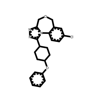 Clc1ccc2c(c1)COCc1nnc(C3CCC(Oc4ccccc4)CC3)n1-2